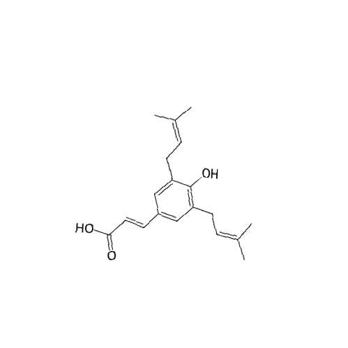 CC(C)=CCc1cc(C=CC(=O)O)cc(CC=C(C)C)c1O